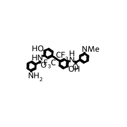 CNc1cccc(C(=O)Nc2cc(C(c3ccc(O)c(NC(=O)c4cccc(N)c4)c3)(C(F)(F)F)C(F)(F)F)ccc2O)c1